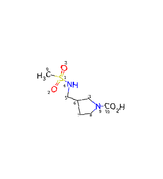 CS(=O)(=O)NCC1CCN(C(=O)O)C1